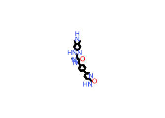 CNC(=O)c1ccc(-c2ccc(-c3nn(C)c(-c4nc5cc6c(cc5[nH]4)CNC6)c3OC)cc2)cn1